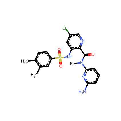 CCN(C(=O)c1ncc(Cl)cc1NS(=O)(=O)c1ccc(C)c(C)c1)c1cccc(N)n1